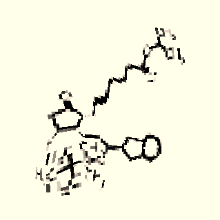 CC(C)OC(=O)CCCC=CC[C@H]1C(=O)C[C@H](F)[C@H]1C=C[C@H](O[Si](C)(C)C(C)(C)C)C1Cc2ccccc2C1